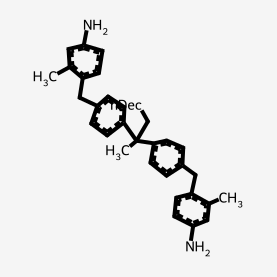 CCCCCCCCCCCC(C)(c1ccc(Cc2ccc(N)cc2C)cc1)c1ccc(Cc2ccc(N)cc2C)cc1